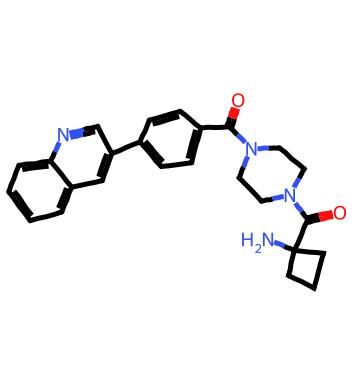 NC1(C(=O)N2CCN(C(=O)c3ccc(-c4cnc5ccccc5c4)cc3)CC2)CCC1